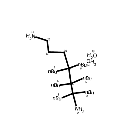 CCCCC(N)(CCCC)C(CCCC)(CCCC)C(CCCC)(CCCC)CCCN.O.O